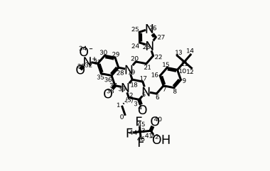 CC[C@H]1C(=O)N(Cc2ccc(C(C)(C)C)cc2)CC2N(CCCn3ccnc3)c3ccc([N+](=O)[O-])cc3C(=O)N21.O=C(O)C(F)(F)F